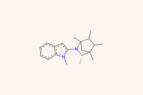 CC1C(C)C2(C)CC1(C)[C@H](C)N2c1cc2ccccc2n1C